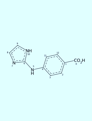 O=C(O)c1ccc(Nc2ncc[nH]2)cc1